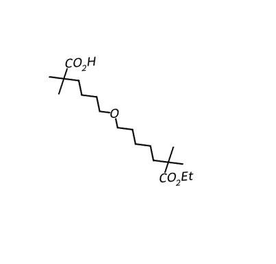 CCOC(=O)C(C)(C)CCCCCOCCCCC(C)(C)C(=O)O